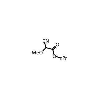 CCCOC(=O)C(C#N)OC